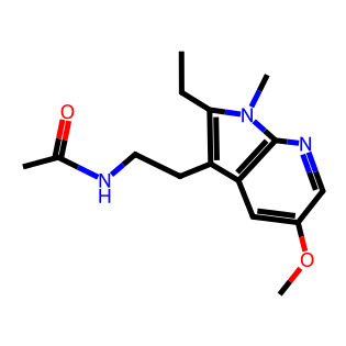 CCc1c(CCNC(C)=O)c2cc(OC)cnc2n1C